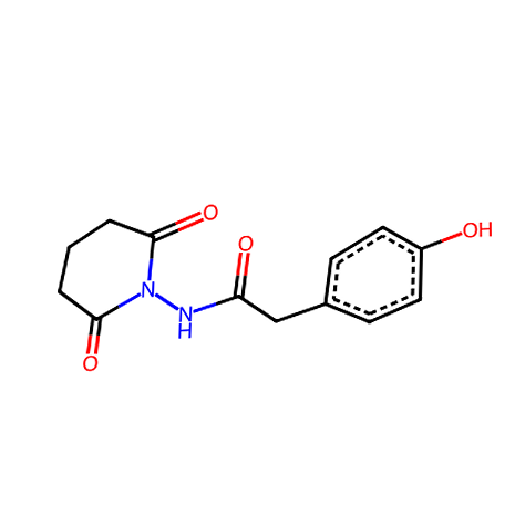 O=C(Cc1ccc(O)cc1)NN1C(=O)CCCC1=O